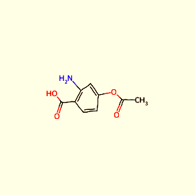 CC(=O)Oc1ccc(C(=O)O)c(N)c1